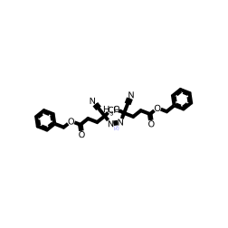 CC(C#N)(CCC(=O)OCc1ccccc1)/N=N\C(C)(C#N)CCC(=O)OCc1ccccc1